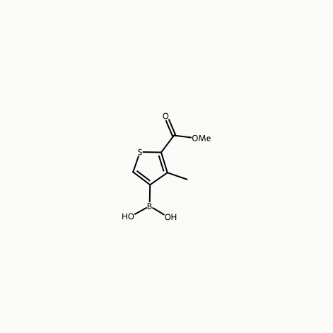 COC(=O)c1scc(B(O)O)c1C